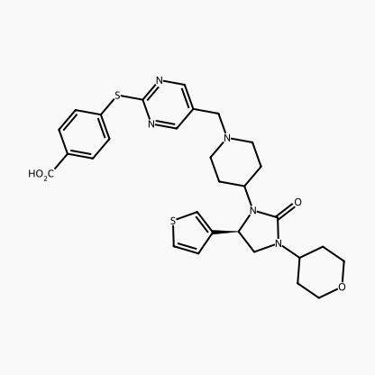 O=C(O)c1ccc(Sc2ncc(CN3CCC(N4C(=O)N(C5CCOCC5)C[C@H]4c4ccsc4)CC3)cn2)cc1